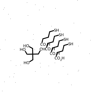 O=C(O)CCCS.O=C(O)CCCS.O=C(O)CCCS.O=C(O)CCCS.OCC(CO)(CO)CO